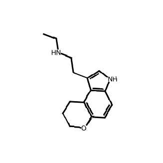 CCNCCc1c[nH]c2ccc3c(c12)CCCO3